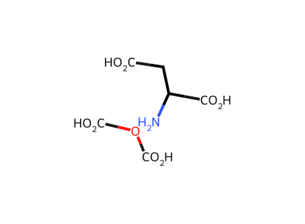 NC(CC(=O)O)C(=O)O.O=C(O)OC(=O)O